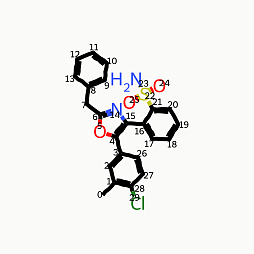 Cc1cc(-c2oc(Cc3ccccc3)nc2-c2ccccc2S(N)(=O)=O)ccc1Cl